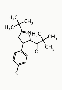 CC(C)(C)C(=O)C1N=C(C(C)(C)C)CC1c1ccc(Cl)cc1